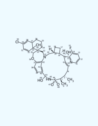 C[C@@H]1[C@@H](C)C/C=C/[C@](O)(c2ncccc2F)[C@@H]2CC[C@H]2CN2C[C@@]3(CCCC4C=C(Cl)C=CC43C)COc3ccc(cc32)C(O)NS1(=O)=O